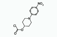 O=C(Cl)OC1CCN(c2ccc([N+](=O)[O-])cc2)CC1